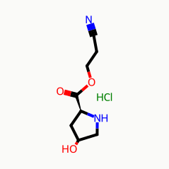 Cl.N#CCCOC(=O)[C@@H]1CC(O)CN1